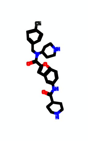 N#Cc1ccc(CN(C(=O)c2cc3cc(NC(=O)C4CCNCC4)ccc3o2)C2CCNCC2)cc1